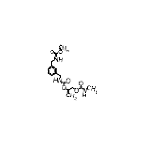 C=C(COC(=O)NC)OC(=O)NCc1cccc(CNC(=O)OC)c1